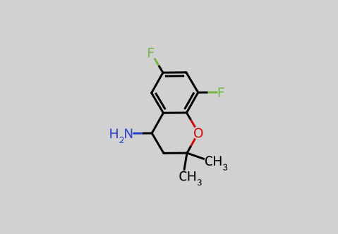 CC1(C)CC(N)c2cc(F)cc(F)c2O1